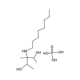 CCCCCCCCNC(C)(C(C)O)C(C)O.O=P(O)(O)O